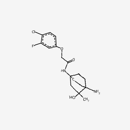 CC1(O)CC2(NC(=O)COc3ccc(Cl)c(F)c3)CCC1(N)CC2